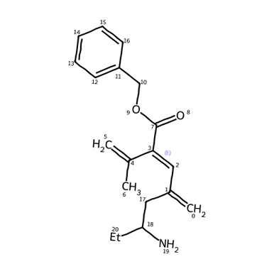 C=C(/C=C(\C(=C)C)C(=O)OCc1ccccc1)CC(N)CC